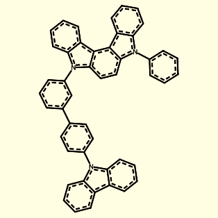 c1ccc(-n2c3ccccc3c3c4c5ccccc5n(-c5cccc(-c6ccc(-n7c8ccccc8c8ccccc87)cc6)c5)c4ccc32)cc1